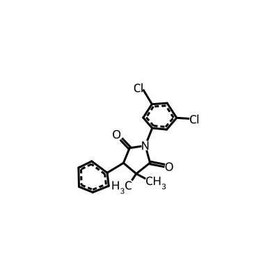 CC1(C)C(=O)N(c2cc(Cl)cc(Cl)c2)C(=O)C1c1ccccc1